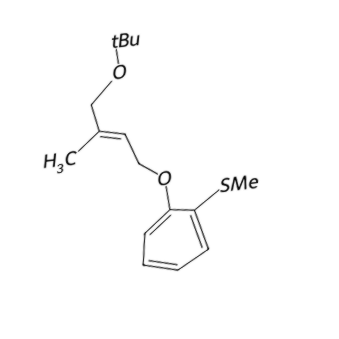 CSc1ccccc1OC/C=C(\C)COC(C)(C)C